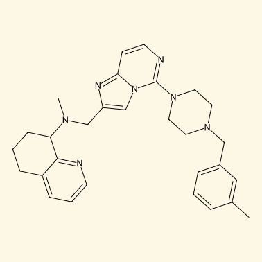 Cc1cccc(CN2CCN(c3nccc4nc(CN(C)C5CCCc6cccnc65)cn34)CC2)c1